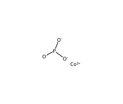 [Co+3].[O-]P([O-])[O-]